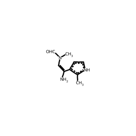 Cc1[nH]ccc1/C(N)=C\N(C)C=O